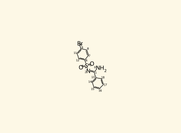 NC(=NS(=O)(=O)c1ccc(Br)cc1)c1ccccc1